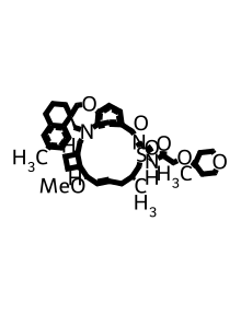 CO[C@H]1/C=C/C[C@H](C)C[S@@](=O)(NC(=O)COC2(C)CCOCC2)=NC(=O)c2ccc3c(c2)N(C[C@@H]2CC[C@H]21)C[C@@]1(CCCc2cc(C)ccc21)CO3